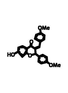 COc1ccc(C=C2C(=O)c3ccc(O)cc3OC2c2ccc(OC)cc2)cc1